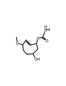 COC1/C=C/C(OC(=O)NI)CC(O)CC1